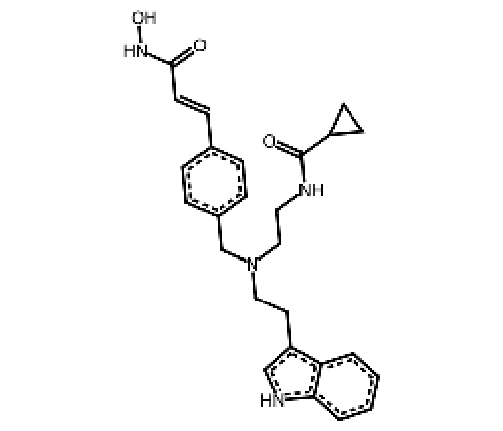 O=C(/C=C/c1ccc(CN(CCNC(=O)C2CC2)CCc2c[nH]c3ccccc23)cc1)NO